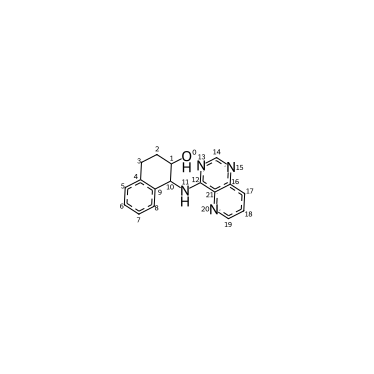 OC1CCc2ccccc2C1Nc1ncnc2cccnc12